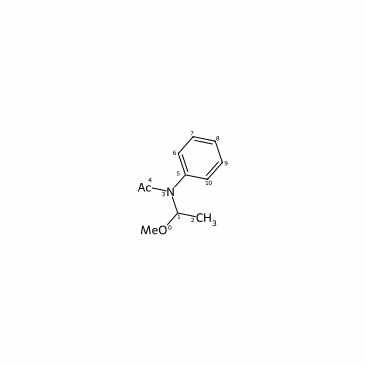 COC(C)N(C(C)=O)c1ccccc1